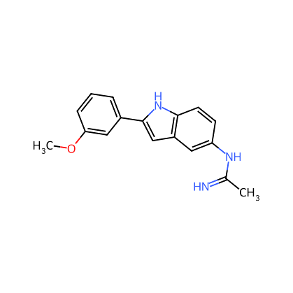 COc1cccc(-c2cc3cc(NC(C)=N)ccc3[nH]2)c1